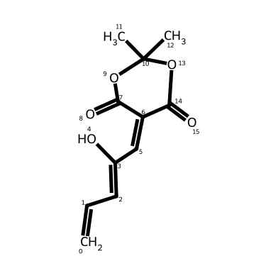 C=CC=C(O)C=C1C(=O)OC(C)(C)OC1=O